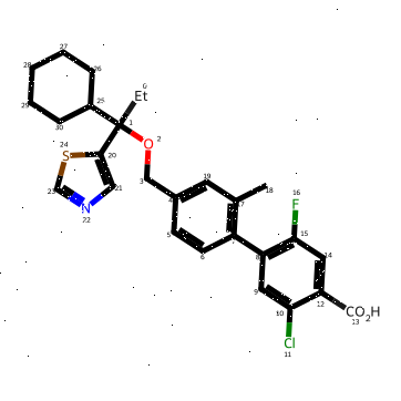 CCC(OCc1ccc(-c2cc(Cl)c(C(=O)O)cc2F)c(C)c1)(c1cncs1)C1CCCCC1